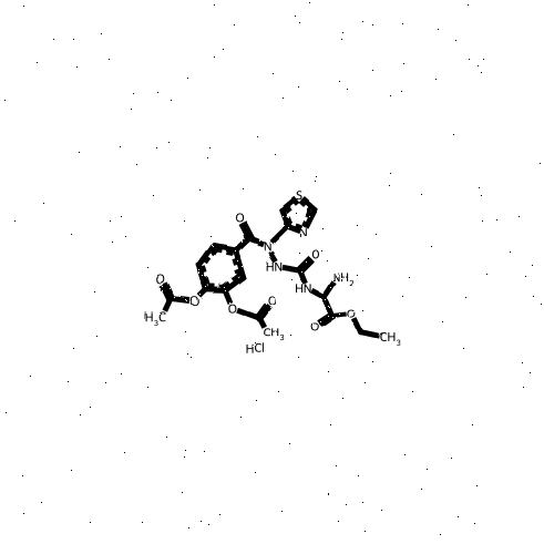 CCOC(=O)C(N)NC(=O)NN(C(=O)c1ccc(OC(C)=O)c(OC(C)=O)c1)c1cscn1.Cl